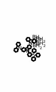 Bc1c(B)c(B)c2c(c1B)c1ccccc1n2-c1ccc2c(c1)c1cc(-n3c4ccccc4c4ccccc43)ccc1n2-c1cccc(S(c2ccccc2)(c2ccccc2)c2ccccc2)c1